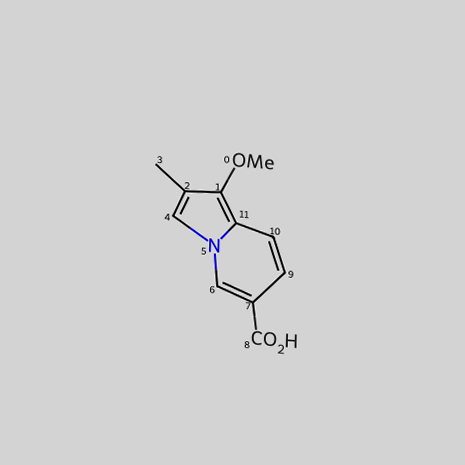 COc1c(C)cn2cc(C(=O)O)ccc12